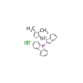 CC1=CC[C]([Ti+2][CH]2C(p3c4ccccc4c4ccccc43)=Cc3ccccc32)=C1C.[Cl-].[Cl-]